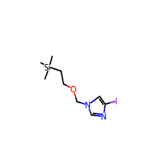 C[Si](C)(C)CCOCn1cnc(I)c1